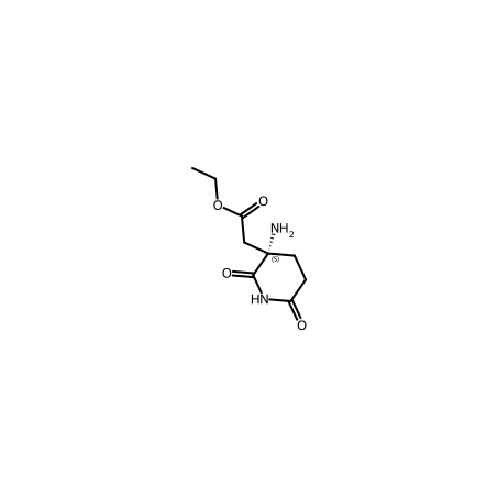 CCOC(=O)C[C@@]1(N)CCC(=O)NC1=O